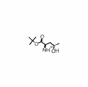 C[C@@H](O)CC(=N)C(=O)OC(C)(C)C